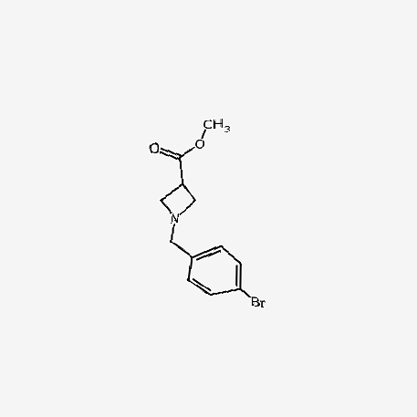 COC(=O)C1CN(Cc2ccc(Br)cc2)C1